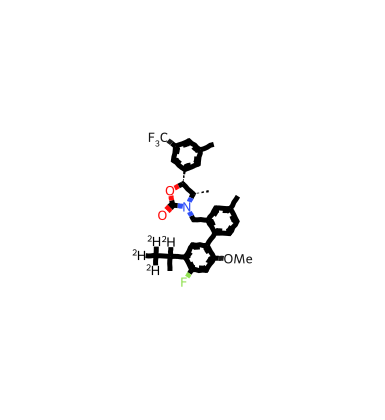 [2H]C([2H])([2H])C([2H])(C)c1cc(-c2ccc(C)cc2CN2C(=O)O[C@H](c3cc(C)cc(C(F)(F)F)c3)[C@@H]2C)c(OC)cc1F